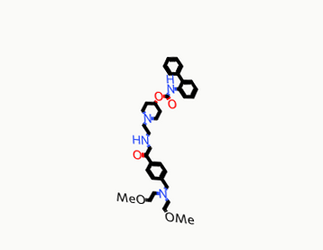 COCCN(CCOC)Cc1ccc(C(=O)CNCCN2CCC(OC(=O)Nc3ccccc3-c3ccccc3)CC2)cc1